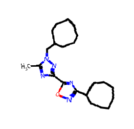 Cc1nc(-c2nc(C3CCCCCCC3)no2)nn1CC1CCCCCCC1